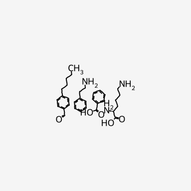 CCCCCc1ccc(C=O)cc1.NCCCC[C@H](N)C(=O)O.NCCc1ccccc1.O=C(O)c1ccccc1